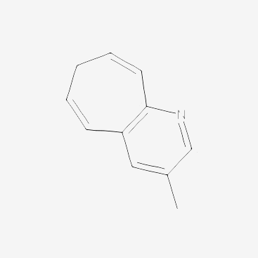 Cc1cnc2c(c1)C=CCC=C2